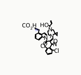 C=CC(O)N1CCN(c2onc(-c3c(Cl)cccc3Cl)c2C(=O)n2ccc3c(/C=C/C(=O)O)cccc32)C2(CC2)C1